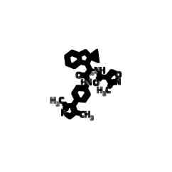 CC1=NCC(C)=C1c1ccc(NC(=O)[C@@H](NC(=O)c2conc2C)C2c3ccccc3CC23CC3)cc1